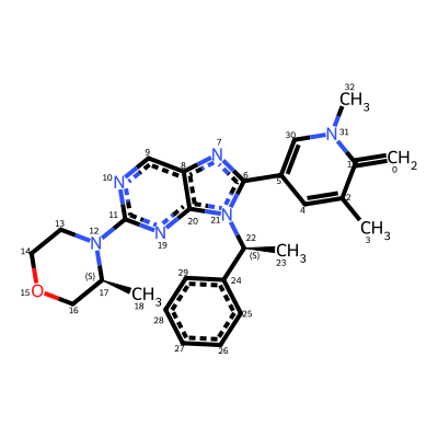 C=C1C(C)=CC(c2nc3cnc(N4CCOC[C@@H]4C)nc3n2[C@@H](C)c2ccccc2)=CN1C